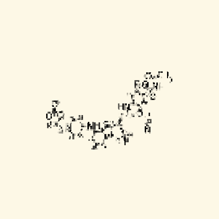 CC(=O)NS(=O)(=O)c1cc(OCC#N)c(NCC#Cc2sc3c(NC4CCN(CC5COC(=O)O5)CC4)cccc3c2CC(F)(F)F)cc1F